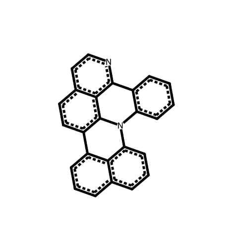 c1ccc2c(c1)-c1nccc3ccc4c(c13)N2c1cccc2cccc-4c12